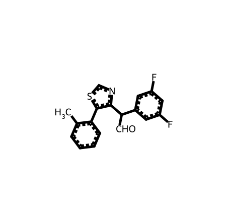 Cc1ccccc1-c1scnc1C(C=O)c1cc(F)cc(F)c1